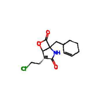 O=C1NC2(CC3C=CCCC3)C(=O)OC2[C@H]1CCCl